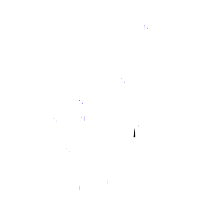 C[C@@H]1CCCN(C(=O)c2ccno2)C[C@H]1c1cc(C(F)F)nc2ncnn12